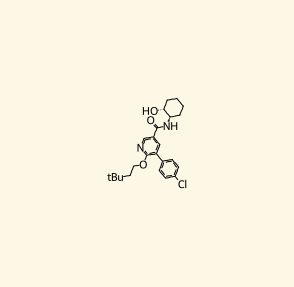 CC(C)(C)CCOc1ncc(C(=O)N[C@@H]2CCCC[C@H]2O)cc1-c1ccc(Cl)cc1